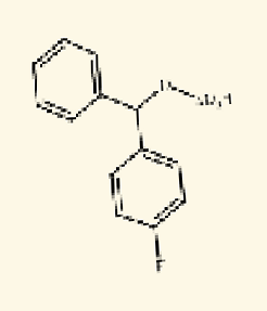 O=S(=O)(O)OC(c1ccccc1)c1ccc(F)cc1